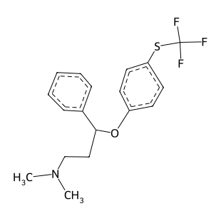 CN(C)CCC(Oc1ccc(SC(F)(F)F)cc1)c1ccccc1